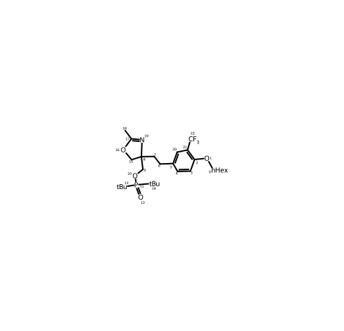 CCCCCCOc1ccc(CCC2(COP(=O)(C(C)(C)C)C(C)(C)C)COC(C)=N2)cc1C(F)(F)F